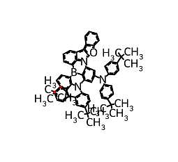 CC(C)(C)c1ccc(N(c2ccc(C(C)(C)C)cc2)c2cc3c4c(c2)-n2c5oc6ccccc6c5c5cccc(c52)B4c2ccc(C(C)(C)C)cc2N3c2ccc(C(C)(C)C)cc2-c2ccccc2)cc1